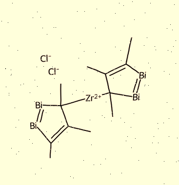 C[C]1=C(C)[C](C)([Zr+2][C]2(C)[Bi]=[Bi][C](C)=C2C)[Bi]=[Bi]1.[Cl-].[Cl-]